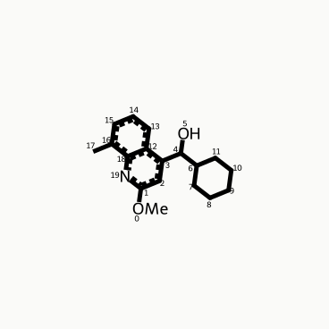 COc1cc(C(O)C2CCCCC2)c2cccc(C)c2n1